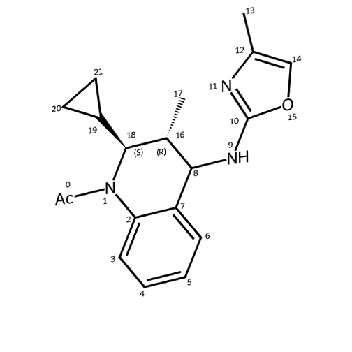 CC(=O)N1c2ccccc2C(Nc2nc(C)co2)[C@@H](C)[C@@H]1C1CC1